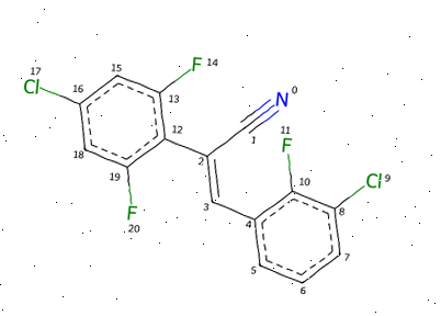 N#CC(=Cc1cccc(Cl)c1F)c1c(F)cc(Cl)cc1F